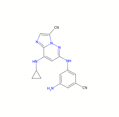 N#Cc1cc(N)cc(Nc2cc(NC3CC3)c3ncc(C#N)n3n2)c1